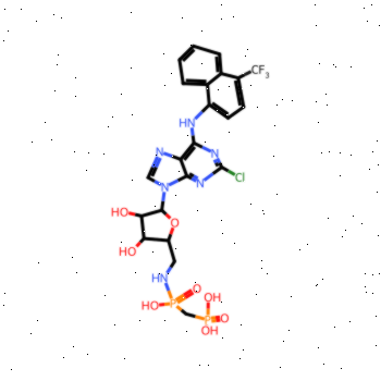 O=P(O)(O)CP(=O)(O)NCC1OC(n2cnc3c(Nc4ccc(C(F)(F)F)c5ccccc45)nc(Cl)nc32)C(O)C1O